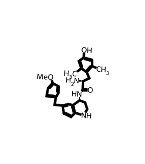 COc1ccc(Cc2ccc3c(c2)[C@H](NC(=O)[C@@H](N)Cc2c(C)cc(O)cc2C)CCN3)cc1